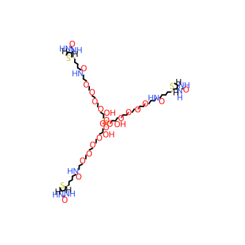 O=C(CCCC[C@@H]1SC[C@@H]2NC(=O)N[C@@H]21)NCCCOCCOCCOCCOCC(O)COP(=O)(OCC(O)COCCOCCOCCOCCCNC(=O)CCCC[C@@H]1SC[C@@H]2NC(=O)N[C@@H]21)OCC(O)COCCOCCOCCOCCCNC(=O)CCCC[C@@H]1SC[C@@H]2NC(=O)N[C@@H]21